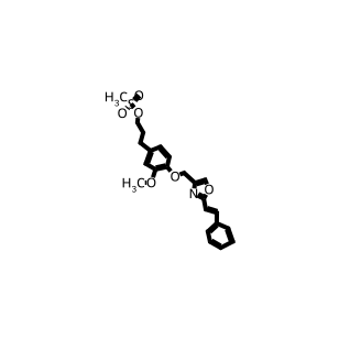 COc1cc(CCCOS(C)(=O)=O)ccc1OCc1coc(/C=C/c2ccccc2)n1